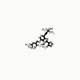 CCn1c(-c2nonc2N)nc2c(C#CC(C)(C)O)ncc(OCC(CN)CC(C)C)c21